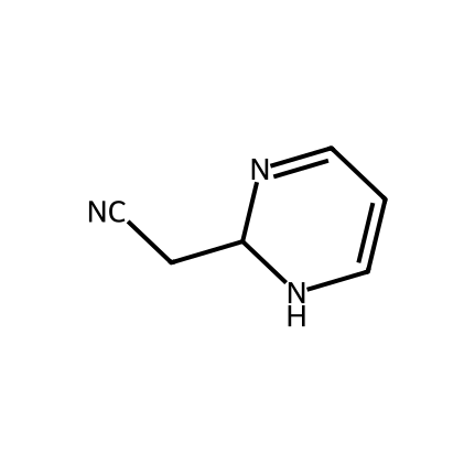 N#CCC1N=CC=CN1